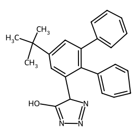 CC(C)(C)c1cc(-c2ccccc2)c(-c2ccccc2)c(C2N=NN=C2O)c1